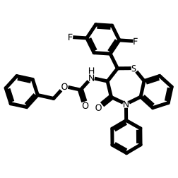 O=C(NC1C(=O)N(c2ccccc2)c2ccccc2SC1c1cc(F)ccc1F)OCc1ccccc1